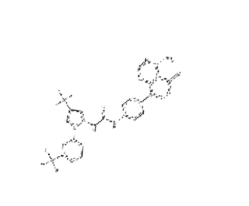 CC(C)(C)c1cc(NC(=O)Nc2ccc(-n3ccc(=O)c4c(N)ncnc43)cc2)n(-c2cccc(C(F)(F)F)c2)n1